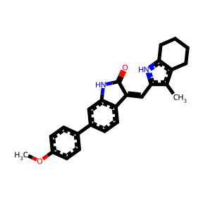 COc1ccc(-c2ccc3c(c2)NC(=O)C3=Cc2[nH]c3c(c2C)CCCC3)cc1